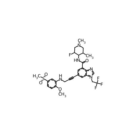 COc1ccc(S(C)(=O)=O)cc1NCC#Cc1cc(C(=O)NC2C(C)CN(C)CC2F)c2ncn(CC(F)(F)F)c2c1